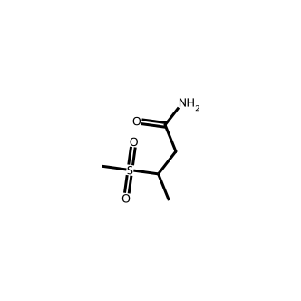 CC(CC(N)=O)S(C)(=O)=O